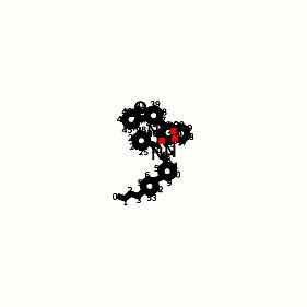 CCCCc1ccc(-c2cccc(-c3nc(-c4ccccc4)nc(-c4ccccc4-n4c5ccccc5c5ccc6oc7ccccc7c6c54)n3)c2)cc1